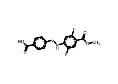 COC(=O)c1cc(F)c(NSc2ccc(C(=O)O)cc2)cc1F